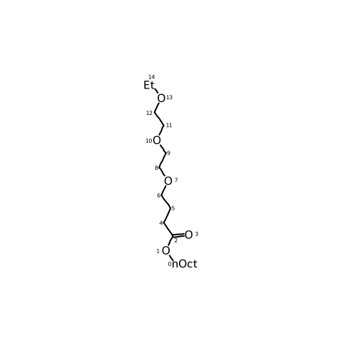 CCCCCCCCOC(=O)CCCOCCOCCOCC